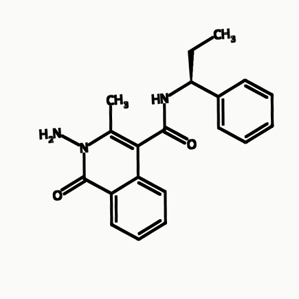 CC[C@H](NC(=O)c1c(C)n(N)c(=O)c2ccccc12)c1ccccc1